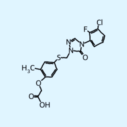 Cc1cc(SCn2ncn(-c3cccc(Cl)c3F)c2=O)ccc1OCC(=O)O